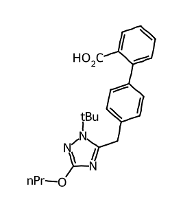 CCCOc1nc(Cc2ccc(-c3ccccc3C(=O)O)cc2)n(C(C)(C)C)n1